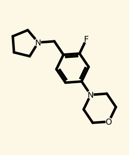 Fc1cc(N2CCOCC2)ccc1CN1CCCC1